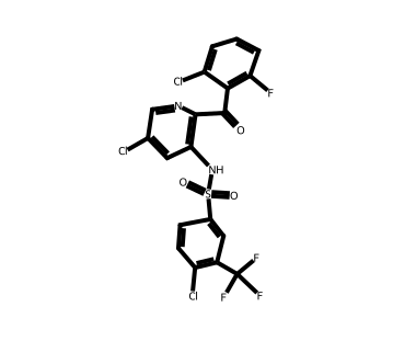 O=C(c1ncc(Cl)cc1NS(=O)(=O)c1ccc(Cl)c(C(F)(F)F)c1)c1c(F)cccc1Cl